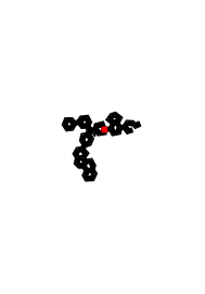 C=C/C=C\C(=C/C)c1ccc(-c2ccc(N(c3ccc(-c4ccc5ccc6c7ccccc7ccc6c5c4)cc3)c3cccc(-c4ccccc4)c3)cc2)c2ccccc12